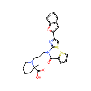 CC1(C(=O)O)CCCCN1CCCN(C(=O)c1cccs1)c1nc(-c2cc3ccccc3o2)cs1